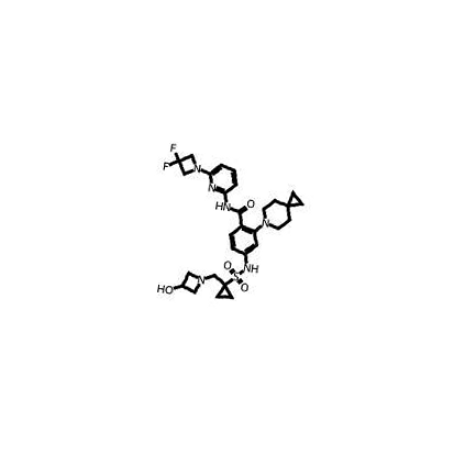 O=C(Nc1cccc(N2CC(F)(F)C2)n1)c1ccc(NS(=O)(=O)C2(CN3CC(O)C3)CC2)cc1N1CCC2(CC1)CC2